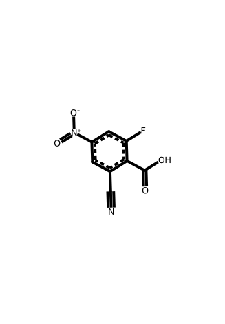 N#Cc1cc([N+](=O)[O-])cc(F)c1C(=O)O